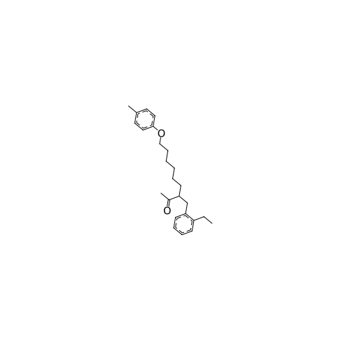 CCc1ccccc1CC(CCCCCCOc1ccc(C)cc1)C(C)=O